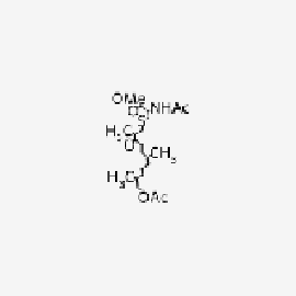 COC(=O)C(CSCC(C)C(=O)CC/C(C)=C\CC/C(C)=C\COC(C)=O)NC(C)=O